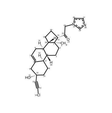 C[C@]12CC[C@H]3[C@@H](CC=C4C[C@](O)(C#CCl)CC[C@@H]43)[C@@H]1CC[C@@H]2C(=O)Cn1ccnc1